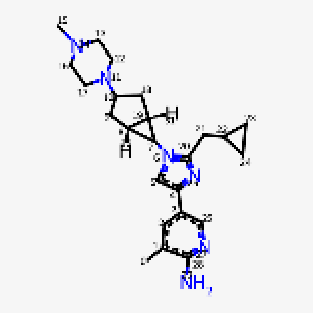 Cc1cc(-c2cn([C@H]3[C@@H]4CC(N5CCN(C)CC5)C[C@@H]43)c(CC3CC3)n2)cnc1N